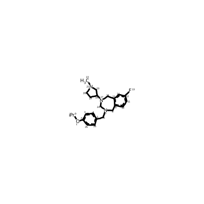 CC(C)Oc1ccc(CN2Cc3ccc(F)cc3CN(C3CCN(C)C3)C2)cc1